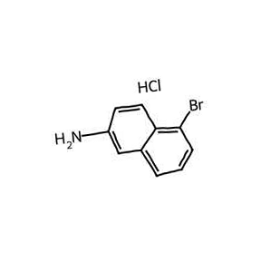 Cl.Nc1ccc2c(Br)cccc2c1